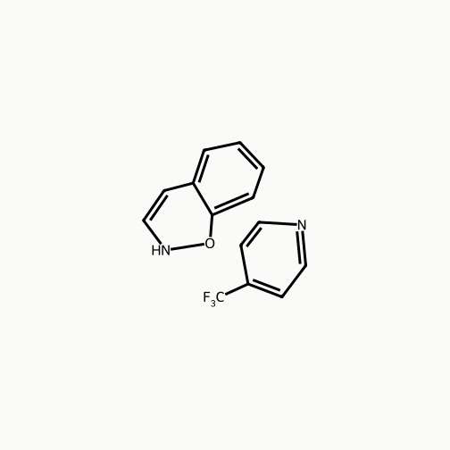 C1=Cc2ccccc2ON1.FC(F)(F)c1ccncc1